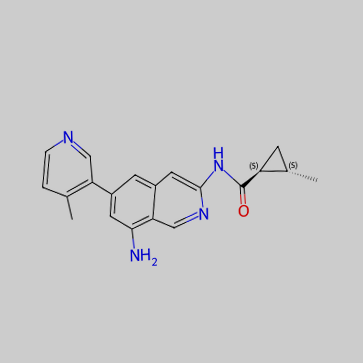 Cc1ccncc1-c1cc(N)c2cnc(NC(=O)[C@H]3C[C@@H]3C)cc2c1